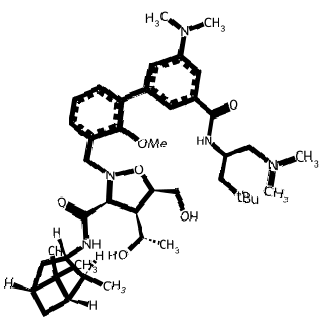 COc1c(CN2O[C@@H](CO)[C@@H]([C@H](C)O)[C@H]2C(=O)N[C@H]2C[C@H]3C[C@@H]([C@@H]2C)C3(C)C)cccc1-c1cc(C(=O)NC(CN(C)C)CC(C)(C)C)cc(N(C)C)c1